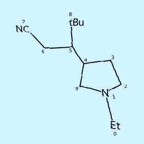 CCN1CCC(C(CC#N)C(C)(C)C)C1